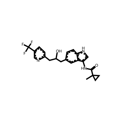 CC1(C(=O)Nc2c[nH]c3ccc(CC(O)Cc4ccc(C(F)(F)F)cn4)cc23)CC1